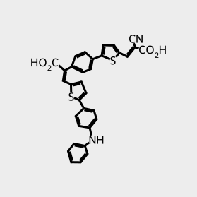 N#C/C(=C\c1ccc(-c2ccc(/C(=C\c3ccc(-c4ccc(Nc5ccccc5)cc4)s3)C(=O)O)cc2)s1)C(=O)O